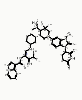 CN(C[C@H]1CC[C@H](N/C=C(/NC(=O)c2cnn3cccnc23)C(=N)C(F)F)CC1)C1CCN(c2ccc3c(c2)n(C)c(=O)n3C2CCC(=O)NC2=O)CC1(F)F